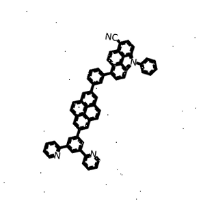 N#Cc1ccc2c3c1ccc1c(-c4cccc(-c5cc6ccc7cc(-c8cc(-c9ccccn9)cc(-c9ccccn9)c8)cc8ccc(c5)c6c78)c4)ccc(c13)n2-c1ccccc1